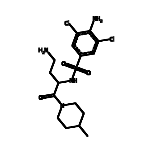 CC1CCN(C(=O)C(CCN)NS(=O)(=O)c2cc(Cl)c(N)c(Cl)c2)CC1